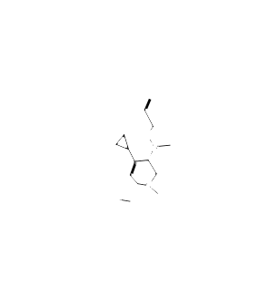 C=CCON(C)[C@H]1CN(C)[C@H](CO)C=C1C1CC1